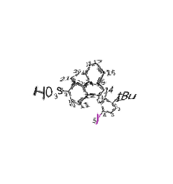 CC(C)(C)c1ccc(I)cc1.O=S(=O)(O)c1ccc2ccc3cccc4ccc1c2c34